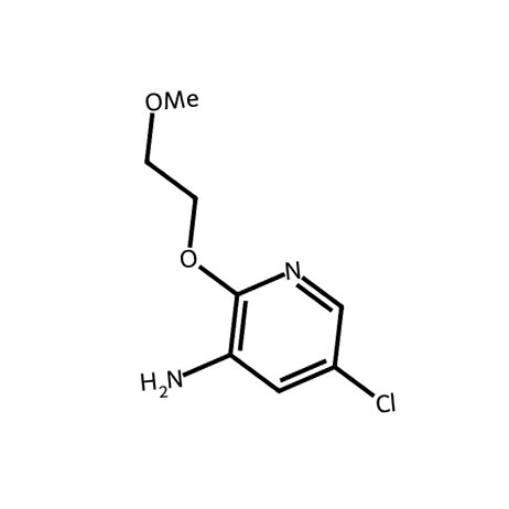 COCCOc1ncc(Cl)cc1N